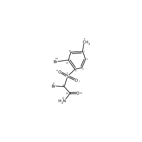 Cc1ccc(S(=O)(=O)C(Br)C(N)=O)c(Br)c1